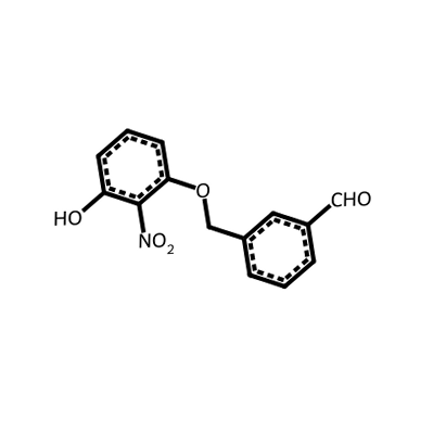 O=Cc1cccc(COc2cccc(O)c2[N+](=O)[O-])c1